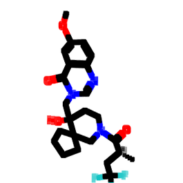 COc1ccc2ncn(CC3(O)CCN(C(=O)[C@H](C)CC(F)(F)F)CC34CCCC4)c(=O)c2c1